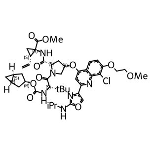 C=C[C@@H]1C[C@]1(NC(=O)[C@@H]1C[C@@H](Oc2cc(-c3coc(NC(C)C)n3)nc3c(Cl)c(OCCOC)ccc23)CN1C(=O)[C@@H](NC(=O)O[C@@H]1C[C@@H]2C[C@@H]2C1)C(C)(C)C)C(=O)OC